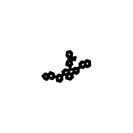 CC1(C)c2ccccc2-c2ccc(N(c3ccc(-c4cccc(-c5ccc6ccccc6c5)c4)cc3)c3cc(-c4ccc5ccccc5c4)ccc3-c3ccccc3)cc21